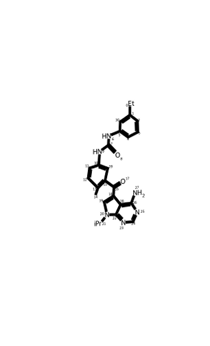 CCc1cccc(NC(=O)Nc2ccc(C)c(C(=O)c3cn(C(C)C)c4ncnc(N)c34)c2)c1